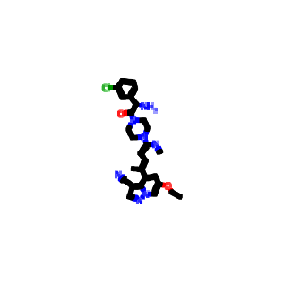 C=N/C(=C\C=C(/C)c1cc(OCC)cn2ncc(C#N)c12)N1CCN(C(=O)[C@H](N)c2cccc(Cl)c2)CC1